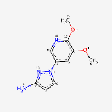 COc1cc(-n2ccc(N)n2)cnc1OC